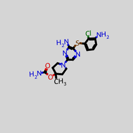 CC1(OC(N)=O)CCN(c2cnc(Sc3cccc(N)c3Cl)c(N)n2)CC1